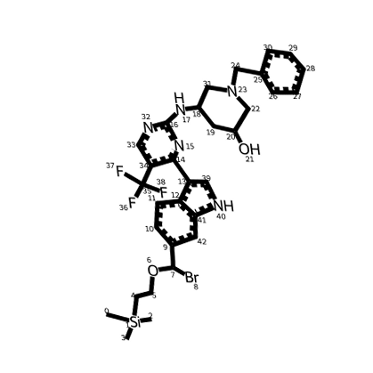 C[Si](C)(C)CCOC(Br)c1ccc2c(-c3nc(NC4CC(O)CN(Cc5ccccc5)C4)ncc3C(F)(F)F)c[nH]c2c1